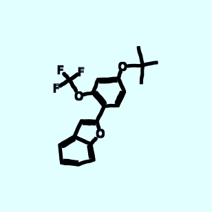 CC(C)(C)Oc1ccc(-c2cc3ccccc3o2)c(OC(F)(F)F)c1